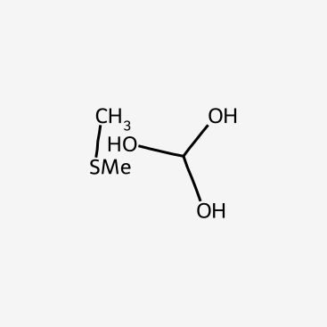 CSC.OC(O)O